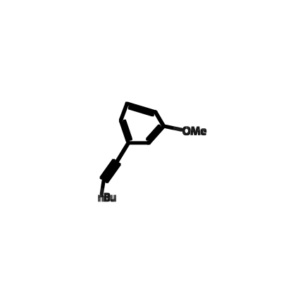 CCCCC#Cc1cccc(OC)c1